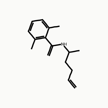 C=CCCC(C)NC(=C)c1c(C)cccc1C